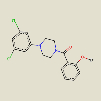 CCOc1ccccc1C(=O)N1CCN(c2cc(Cl)cc(Cl)c2)CC1